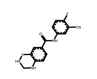 N#Cc1cc(NC(=O)c2ccc3c(c2)SNCN3)ccc1F